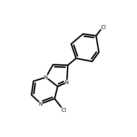 Clc1ccc(-c2cn3ccnc(Cl)c3n2)cc1